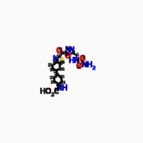 NS(=O)(=O)NCc1nnc(C(=O)c2nc3ccc(-c4ccc(NC(=O)O)cc4)cc3s2)o1